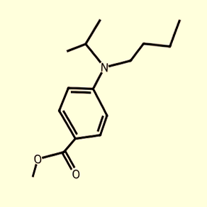 CCCCN(c1ccc(C(=O)OC)cc1)C(C)C